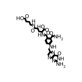 NC(=O)c1cc(NCc2cnc3nc(N)[nH]c(=O)c3n2)ccc1C(=O)NC(CCC(=O)NCCCC(=O)O)C(=O)O